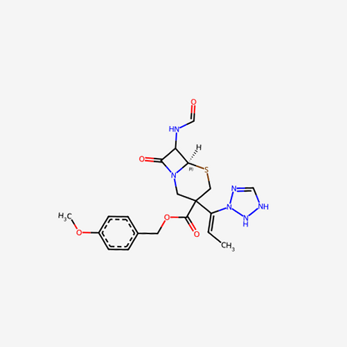 CC=C(N1N=CNN1)C1(C(=O)OCc2ccc(OC)cc2)CS[C@@H]2C(NC=O)C(=O)N2C1